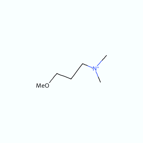 COCCC[N+](C)C